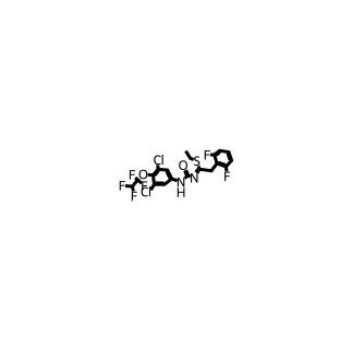 CCSC(Cc1c(F)cccc1F)=NC(=O)Nc1cc(Cl)c(OC(F)(F)C(F)F)c(Cl)c1